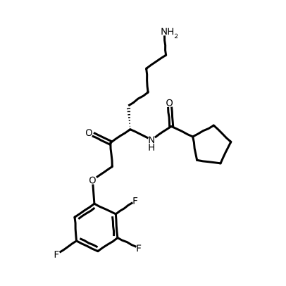 NCCCC[C@H](NC(=O)C1CCCC1)C(=O)COc1cc(F)cc(F)c1F